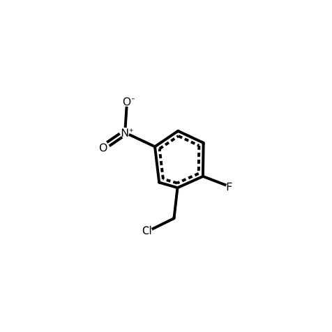 O=[N+]([O-])c1ccc(F)c(CCl)c1